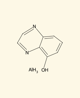 Oc1cccc2nccnc12.[AlH3]